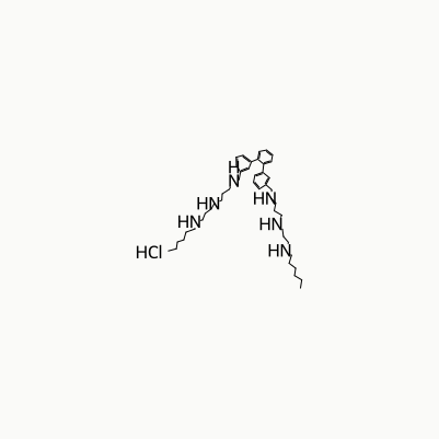 CCCCCCNCCCNCCCNCc1cccc(-c2ccccc2-c2cccc(CNCCCNCCCNCCCCCC)c2)c1.Cl